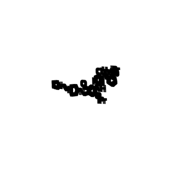 CC(C)Oc1cc2c(cc1Nc1ncc(Cl)c(Nc3ccccc3S(=O)(=O)C(C)C)n1)C(=O)N(C1CCN(CCN3CCCC3)CC1)C2